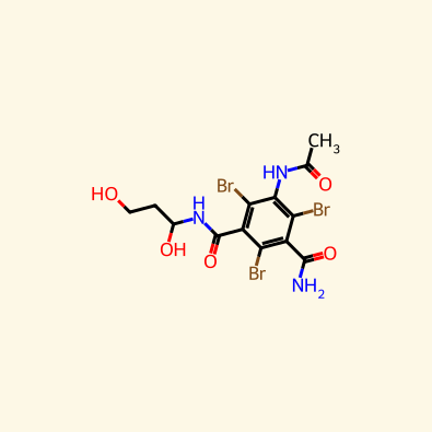 CC(=O)Nc1c(Br)c(C(N)=O)c(Br)c(C(=O)NC(O)CCO)c1Br